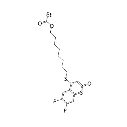 CCC(=O)OCCCCCCCCSc1cc(=O)sc2cc(F)c(F)cc12